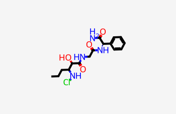 CCCC(NCl)C(O)C(=O)NCC(=O)N[C@H](C(N)=O)c1ccccc1